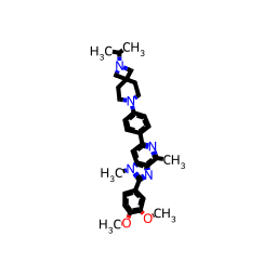 COc1ccc(-c2nc3c(C)nc(-c4ccc(N5CCC6(CC5)CN(C(C)C)C6)cc4)cc3n2C)cc1OC